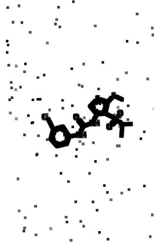 CSc1scc(NC(=O)Nc2cccc(Cl)c2)c1S(=O)(=O)C(C)C